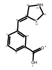 O=C(O)c1cccc(C=C2CNCS2)c1